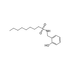 CCCCCCCCS(=O)(=O)NCc1ccccc1O